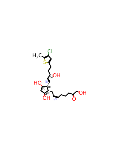 Cc1sc(CC[C@H](O)/C=C/[C@@H]2[C@@H](C/C=C\CCCC(=O)CO)[C@@H](O)C[C@H]2O)cc1Cl